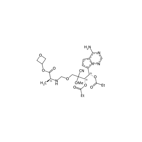 CCC(=O)O[C@@H](c1ccc2c(N)ncnn12)[C@H](OC(=O)CC)C(C#N)(COCN[C@@H](C)C(=O)OC1COC1)OC